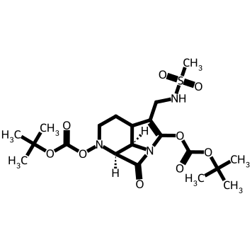 CC(C)(C)OC(=O)OC1=C(CNS(C)(=O)=O)C2CCN(OC(=O)OC(C)(C)C)[C@@H]3C(=O)N1[C@H]23